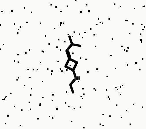 CCBC1CC(=CC(C)C)C1